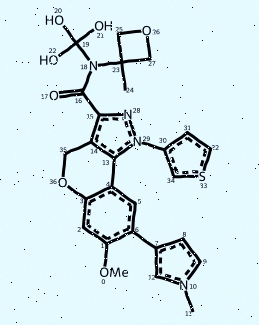 COc1cc2c(cc1-c1ccn(C)c1)-c1c(c(C(=O)N(C(O)(O)O)C3(C)COC3)nn1-c1ccsc1)CO2